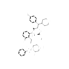 COC(=O)N[C@H](C(=O)Nc1cccc(F)c1CC[C@H]1CNC[C@@H](C)N1S(=O)(=O)c1ccccc1)C(c1ccc(Cl)cc1)C1CCOCC1